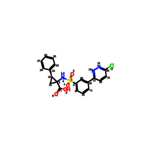 O=C(O)C1(NS(=O)(=O)c2cccc(-c3ccc(Cl)nn3)c2)C[C@H]1c1ccccc1